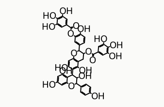 O=C(Oc1cc(C2Oc3cc(O)c(C4c5c(O)cc(O)cc5OC(c5ccc(O)cc5)C4O)c(O)c3CC2OC(=O)c2cc(O)c(O)c(O)c2)ccc1O)c1cc(O)c(O)c(O)c1